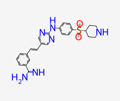 N=C(N)c1cccc(C=Cc2cnc(Nc3ccc(S(=O)(=O)C4CCNCC4)cc3)nc2)c1